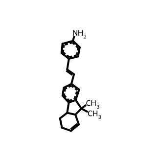 CC1(C)c2cc(/C=C/c3ccc(N)cc3)ccc2C2CCC=CC21